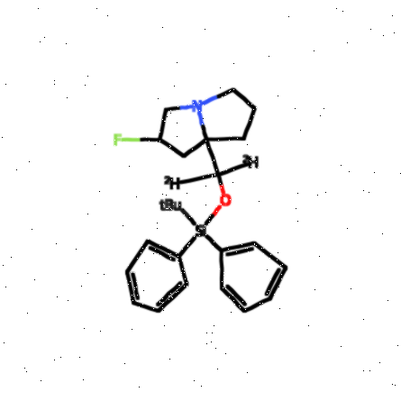 [2H]C([2H])(O[Si](c1ccccc1)(c1ccccc1)C(C)(C)C)C12CCCN1CC(F)C2